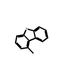 Cc1ccc[c]2c1-c1cccc[c]1[Y]2